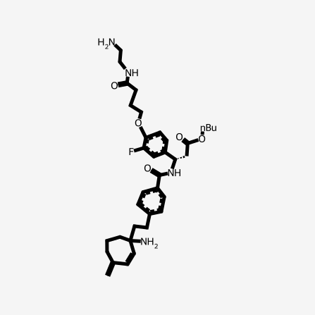 C=C1C=CC(N)(CCc2ccc(C(=O)N[C@@H](CC(=O)OCCCC)c3ccc(OCCCC(=O)NCCN)c(F)c3)cc2)CCC1